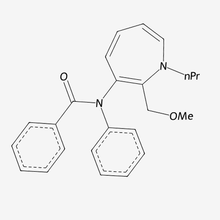 CCCN1C=CC=CC(N(C(=O)c2ccccc2)c2ccccc2)=C1COC